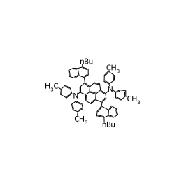 CCCCc1ccc(-c2cc(N(c3ccc(C)cc3)c3ccc(C)cc3)c3ccc4c(-c5ccc(CCCC)c6ccccc56)cc(N(c5ccc(C)cc5)c5ccc(C)cc5)c5ccc2c3c45)c2ccccc12